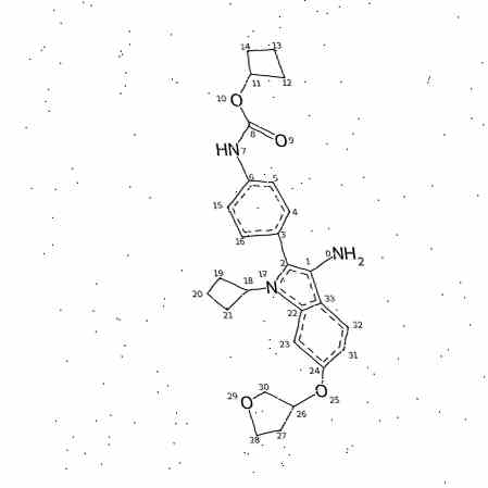 Nc1c(-c2ccc(NC(=O)OC3CCC3)cc2)n(C2CCC2)c2cc(OC3CCOC3)ccc12